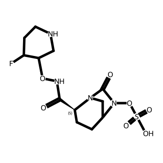 O=C(NOC1CNCCC1F)[C@@H]1CCC2CN1C(=O)N2OS(=O)(=O)O